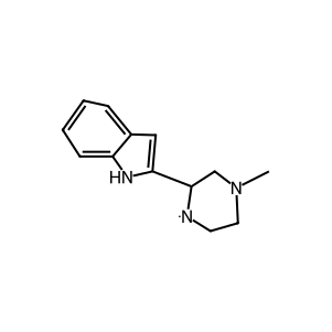 CN1CC[N]C(c2cc3ccccc3[nH]2)C1